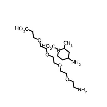 CC1CC(N)CCN1C(=O)O.NCCOCCOCCOCCOCCC(=O)O